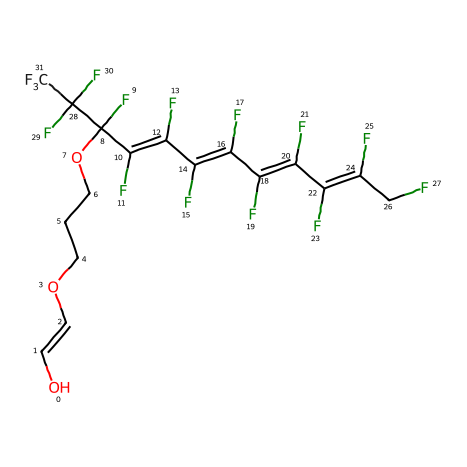 O/C=C/OCCCOC(F)(/C(F)=C(F)/C(F)=C(F)/C(F)=C(F)/C(F)=C(\F)CF)C(F)(F)C(F)(F)F